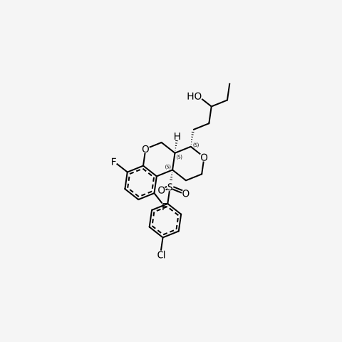 CCC(O)CC[C@@H]1OCC[C@@]2(S(=O)(=O)c3ccc(Cl)cc3)c3c(F)ccc(F)c3OC[C@@H]12